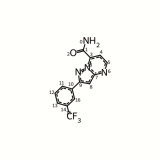 NC(=O)c1ccnc2cc(-c3cccc(C(F)(F)F)c3)nn12